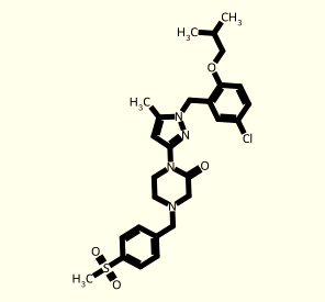 Cc1cc(N2CCN(Cc3ccc(S(C)(=O)=O)cc3)CC2=O)nn1Cc1cc(Cl)ccc1OCC(C)C